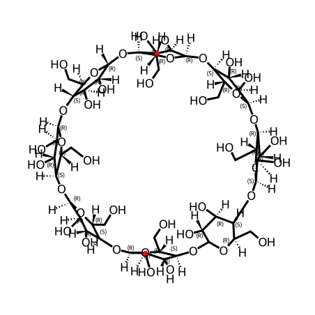 OC[C@H]1C[C@@H]2O[C@H]3[C@H](O)[C@@H](O)C(O[C@H]4[C@H](O)[C@@H](O)[C@@H](O[C@H]5[C@H](O)[C@@H](O)[C@@H](O[C@H]6[C@H](O)[C@@H](O)[C@@H](O[C@H]7[C@H](O)[C@@H](O)[C@@H](O[C@H]8[C@H](O)[C@@H](O)[C@@H](O[C@H]9[C@H](O)[C@@H](O)[C@@H](O[C@H]1[C@H](O)[C@H]2O)O[C@@H]9CO)O[C@@H]8CO)O[C@@H]7CO)O[C@@H]6CO)O[C@@H]5CO)O[C@@H]4CO)O[C@@H]3CO